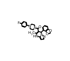 CC1=C(C(=O)N2CCN(c3ccc(F)cc3)CC2)C(c2cccc3c2OCO3)n2nccc2N1